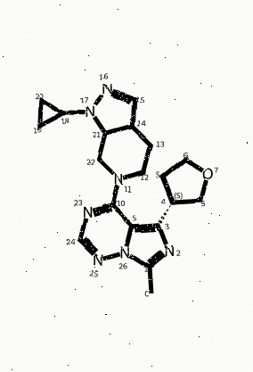 Cc1nc([C@@H]2CCOC2)c2c(N3CCC4C=NN(C5CC5)C4C3)ncnn12